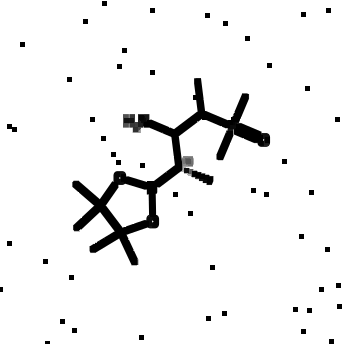 CC(C(N)[C@H](C)B1OC(C)(C)C(C)(C)O1)P(C)(C)=O